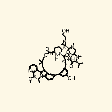 CCn1c(-c2cccnc2[C@H](C)OC)c2c3cc(ccc31)-c1cc(O)cc(c1)C[C@H](NC(=O)[C@H](C(C)C)N(C)C(=O)CN(C)C(=O)[C@H]1CN1CCO)C(=O)N1CCC[C@H](N1)C(=O)OCC(C)(C)C2